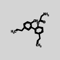 C=CCc1ccc(O)c(-c2cc(CC=C)ccc2OC(=O)CN)c1